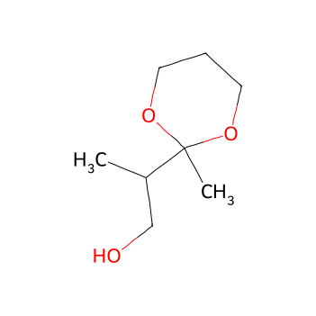 CC(CO)C1(C)OCCCO1